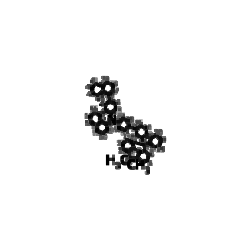 CC1(C)c2cccc3c2-c2c1cccc2C3(c1ccccc1)c1cccc(-c2ccc(N(c3ccc(-c4cccc5ccccc45)cc3)c3cccc4ccccc34)cc2)c1